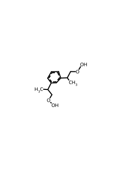 CC(COO)c1cccc(C(C)COO)c1